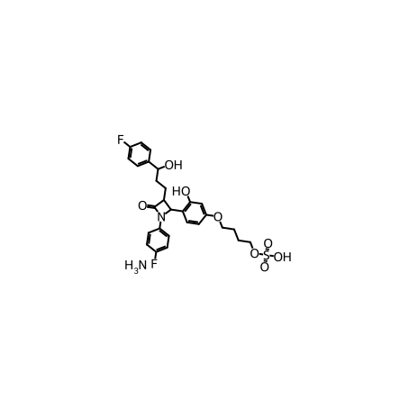 N.O=C1C(CCC(O)c2ccc(F)cc2)C(c2ccc(OCCCCOS(=O)(=O)O)cc2O)N1c1ccc(F)cc1